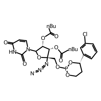 CCCCC(=O)O[C@H]1C(n2ccc(=O)[nH]c2=O)O[C@@](COP2OCC[C@@H](c3cccc(Cl)c3)O2)(N=[N+]=[N-])[C@H]1OC(=O)CCCC